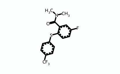 CN(C)C(=O)c1cc(F)ccc1Sc1ccc(C(F)(F)F)cc1